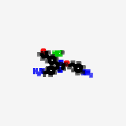 Cl.NCc1ccc(-c2ncc(OCCc3ccc(N)cc3)nc2-c2ccc(-c3ccoc3)cc2)cc1